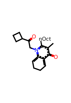 CCCCCCCCc1c(C)c(=O)c2c(n1CC(=O)C1CCC1)=CCCC=2